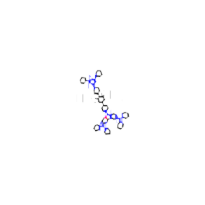 Cc1cc(-c2ccc(-n3c4ccc(N(c5ccccc5)c5ccccc5)cc4c4cc(N(c5ccccc5)c5ccccc5)ccc43)cc2)cc(C)c1-c1ccc(-c2cc(-c3ccccc3)nc(-c3ccccc3)n2)cc1